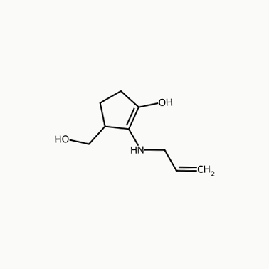 C=CCNC1=C(O)CCC1CO